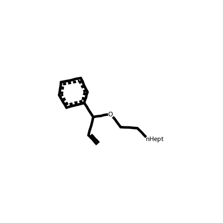 C=CC(OCCCCCCCCC)c1ccccc1